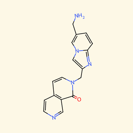 NCc1ccc2nc(Cn3ccc4ccncc4c3=O)cn2c1